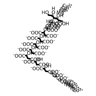 O=C([O-])CC(O)C(=O)[O-].O=C([O-])CC(O)C(=O)[O-].O=C([O-])CC(O)C(=O)[O-].O=C([O-])CC(O)C(=O)[O-].O=C([O-])CC(O)C(=O)[O-].O=C([O-])CC(O)C(=O)[O-].O=C([O-])CC(O)C(=O)[O-].O=C([O-])[O-].O=C([O-])[O-].O=C([O-])[O-].O=C([O-])[O-].O=C([O-])[O-].O=C([O-])[O-].O=C([O-])[O-].OC[C@@H](O)[C@@H](O)[C@H](O)[C@@H](O)CO.[Cu+2].[Cu+2].[Cu+2].[Cu+2].[Fe+3].[Fe+3].[Fe+3].[Fe+3].[Mg+2].[Mg+2].[Mg+2].[Mg+2]